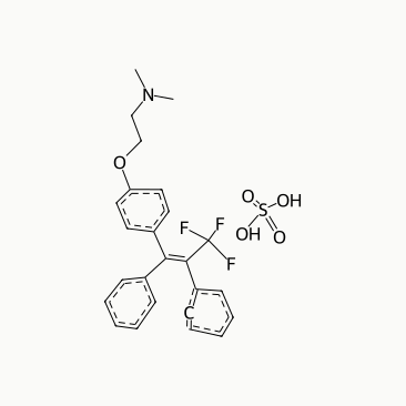 CN(C)CCOc1ccc(C(=C(c2ccccc2)C(F)(F)F)c2ccccc2)cc1.O=S(=O)(O)O